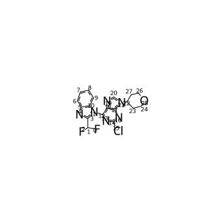 FC(F)c1nc2ccccc2n1-c1nc(Cl)nc2c1ncn2C1CCOCC1